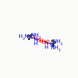 Nc1ccc2c(c1)c(-c1ccccc1)[n+](CCCCCC(=O)NCCCOCCOCCOCCCNC(=O)CCCCC[n+]1cc3c(-c4ccccc4)c(N)ccc3c3ccc(N)cc31)c1cc(N)ccc21